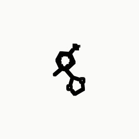 Cc1ccc(Br)cc1C1OCCO1